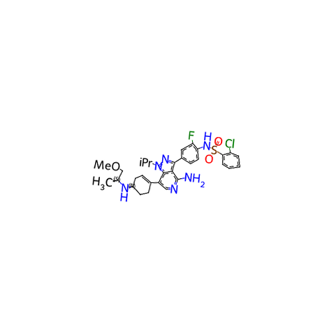 COC[C@H](C)N[C@H]1CC=C(c2cnc(N)c3c(-c4ccc(NS(=O)(=O)c5ccccc5Cl)c(F)c4)nn(C(C)C)c23)CC1